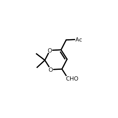 CC(=O)CC1=CC(C=O)OC(C)(C)O1